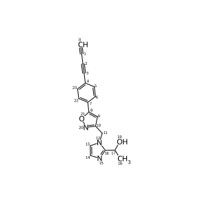 C#CC#Cc1ccc(-c2cc(Cn3ccnc3C(C)O)no2)cc1